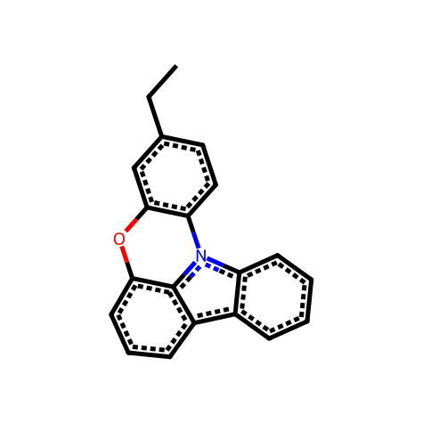 CCc1ccc2c(c1)Oc1cccc3c4ccccc4n-2c13